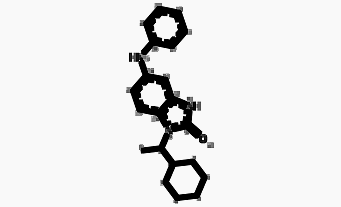 CC(C1CCCCC1)n1c(=O)[nH]c2cc(Nc3ccccc3)ccc21